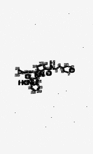 O=C(NCCC1CCOCC1)c1cccc2c(C#CC3CC3)n(C(Cc3ccccc3)C(=O)NO)nc12